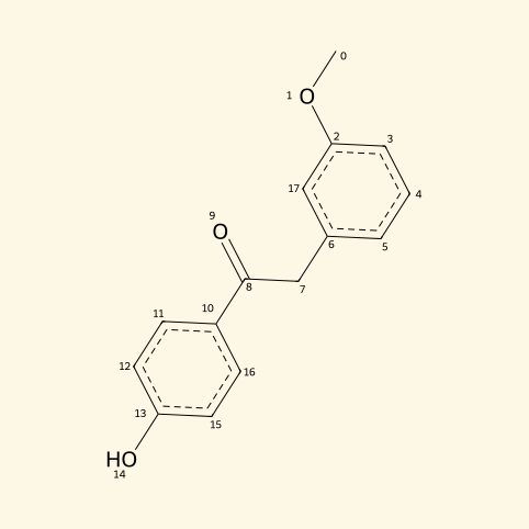 COc1cccc(CC(=O)c2ccc(O)cc2)c1